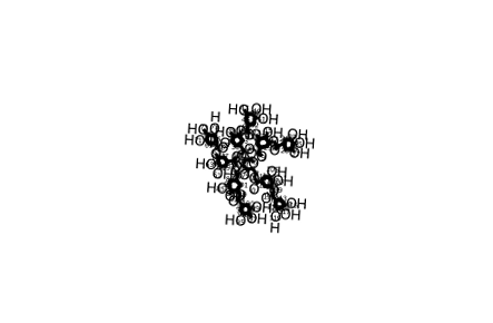 O=C(OCC1O[C@@H](OC(=O)c2cc(O)c(O)c(OC(=O)c3cc(O)c(O)c(O)c3)c2)[C@@H](OC(=O)c2cc(O)c(O)c(OC(=O)c3cc(O)c(O)c(O)c3)c2)[C@@H](OC(=O)c2cc(O)c(O)c(OC(=O)c3cc(O)c(O)c(O)c3)c2)[C@H]1OC(=O)c1cc(O)c(O)c(OC(=O)c2cc(O)c(O)c(O)c2)c1)c1cc(O)c(O)c(OC(=O)c2cc(O)c(O)c(O)c2)c1